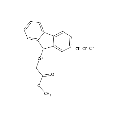 COC(=O)[CH2][Zr+3][CH]1c2ccccc2-c2ccccc21.[Cl-].[Cl-].[Cl-]